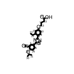 [C-]#[N+]c1cc(-c2nc(-c3ccc(OCCCC(=O)O)cc3CC)no2)ccc1OC(C)C